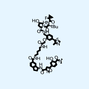 Cc1ncsc1-c1ccc(CNC(=O)[C@@H]2C[C@@H](O)CN2C(=O)[C@@H](NC(=O)C2(F)CC2)C(C)(C)C)c(OCC(=O)NCCCCCNC(=O)c2ccc3c(c2)[C@H](NC(=O)c2cc(-c4ccc(C(=O)N(C)C)c(O)c4)on2)CC3)c1